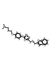 CN(C)CCCOc1ccc(-c2nnc(CSCc3cc4ccccc4o3)o2)cc1